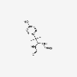 CC(C)(c1ccc(O)cc1)C(NC=O)NC=O